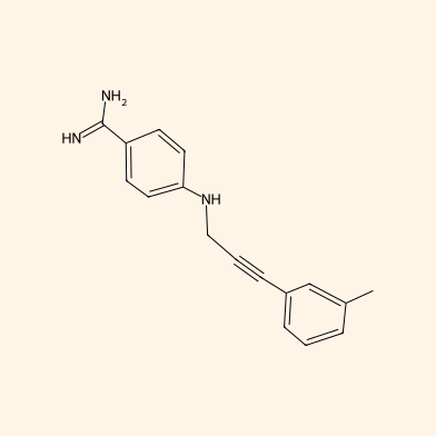 Cc1cccc(C#CCNc2ccc(C(=N)N)cc2)c1